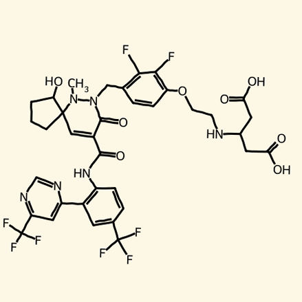 CN1N(Cc2ccc(OCCNC(CC(=O)O)CC(=O)O)c(F)c2F)C(=O)C(C(=O)Nc2ccc(C(F)(F)F)cc2-c2cc(C(F)(F)F)ncn2)=CC12CCCC2O